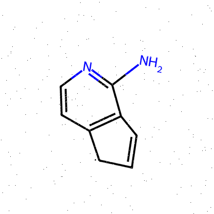 Nc1nccc2c1C=C[CH]2